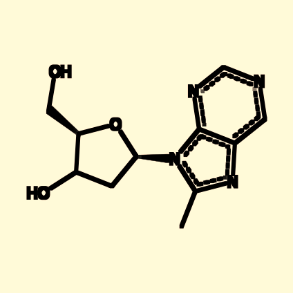 Cc1nc2cncnc2n1[C@H]1CC(O)[C@@H](CO)O1